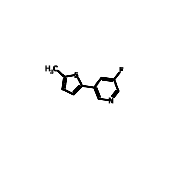 Cc1ccc(-c2cncc(F)c2)s1